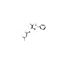 Cc1c(NC(=O)C(N)CC(C)C)c(=O)n(-c2ccccc2)n1C